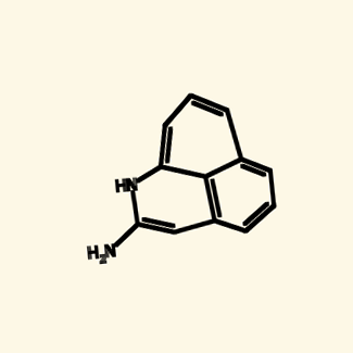 NC1=Cc2cccc3cccc(c23)N1